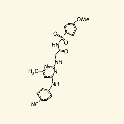 COc1ccc(S(=O)(=O)NC(=O)CNc2nc(C)cc(Nc3ccc(C#N)cc3)n2)cc1